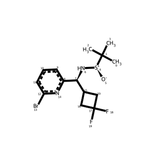 CC(C)(C)[S@@+]([O-])N[C@H](c1cccc(Br)n1)C1CC(F)(F)C1